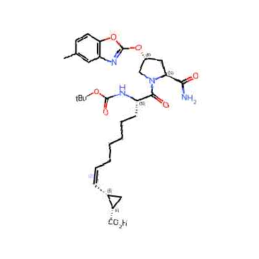 Cc1ccc2oc(O[C@@H]3C[C@@H](C(N)=O)N(C(=O)[C@H](CCCCC/C=C\[C@@H]4C[C@@H]4C(=O)O)NC(=O)OC(C)(C)C)C3)nc2c1